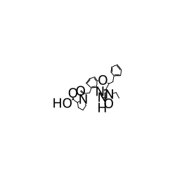 CCn1c(C(Cc2ccccc2)Oc2cccc(CC(=O)N3CCCC3C(=O)O)c2)n[nH]c1=O